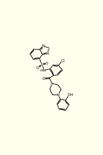 O=C(c1ccc(Cl)cc1NS(=O)(=O)c1cccc2nsnc12)N1CCN(c2ccccc2O)CC1